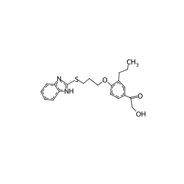 CCCc1cc(C(=O)CO)ccc1OCCCSc1nc2ccccc2[nH]1